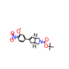 COc1cc(C2=C[C@@H]3CN(C(=O)OC(C)(C)C)C[C@@H]3C2)ccc1[N+](=O)[O-]